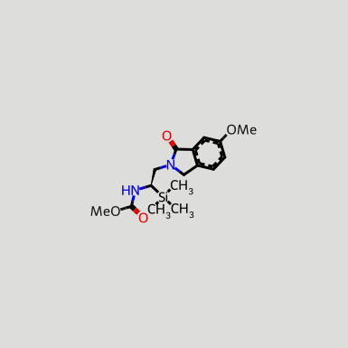 COC(=O)N[C@@H](CN1Cc2ccc(OC)cc2C1=O)[Si](C)(C)C